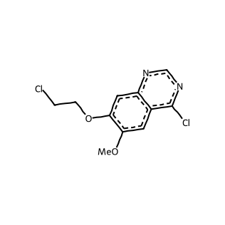 COc1cc2c(Cl)ncnc2cc1OCCCl